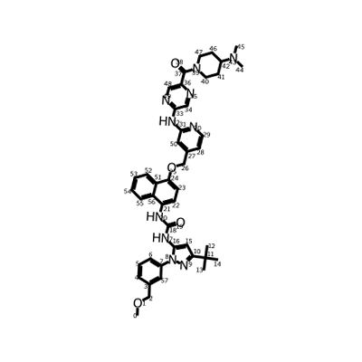 COCc1cccc(-n2nc(C(C)(C)C)cc2NC(=O)Nc2ccc(OCc3ccnc(Nc4cnc(C(=O)N5CCC(N(C)C)CC5)cn4)c3)c3ccccc23)c1